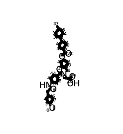 COc1ccc(CC(=O)Nc2ccc(C(=O)N(CC(=O)O)Cc3ccc(OC(=O)c4ccc(-c5ccc(C)cc5)cc4)cc3)cc2)cc1